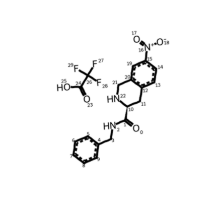 O=C(NCc1ccccc1)[C@@H]1Cc2ccc([N+](=O)[O-])cc2CN1.O=C(O)C(F)(F)F